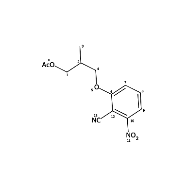 CC(=O)OCC(C)COc1cccc([N+](=O)[O-])c1C#N